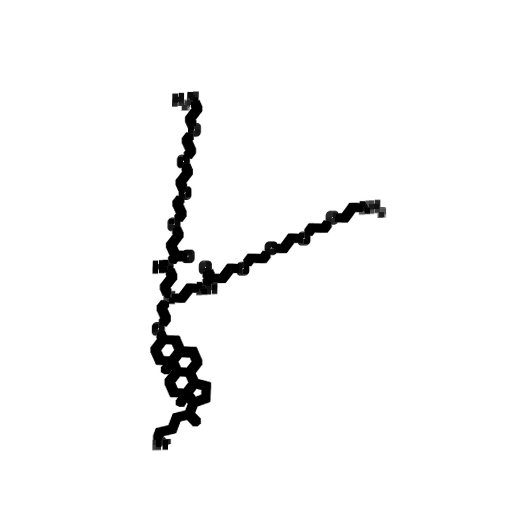 CC(C)CCCC(C)C1CCC2C3CC=C4CC(OCCN(CCNC(=O)CCOCCOCCOCCOCCN)CCNC(=O)CCOCCOCCOCCOCCN)CCC4(C)C3CCC12C